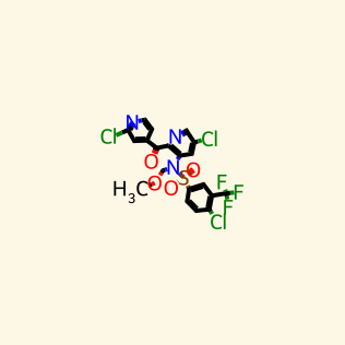 COCN(c1cc(Cl)cnc1C(=O)c1ccnc(Cl)c1)S(=O)(=O)c1ccc(Cl)c(C(F)(F)F)c1